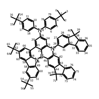 CC(C)(C)c1ccc(N(c2ccc(C(C)(C)C)cc2)c2cc3c4c(c2)N(c2ccc5c(c2)-c2ccccc2C5(C)C)c2cc5c(cc2B4n2c4ccc(C(C)(C)C)cc4c4cc(C(C)(C)C)cc-3c42)C(C)(C)c2ccccc2-5)cc1